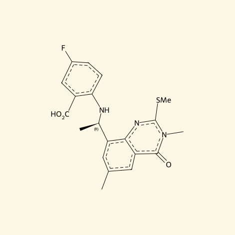 CSc1nc2c([C@@H](C)Nc3ccc(F)cc3C(=O)O)cc(C)cc2c(=O)n1C